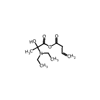 C=CCC(=O)OC(=O)C(C)(O)N(CC)CC